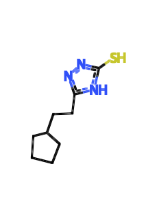 Sc1nnc(CCC2CCCC2)[nH]1